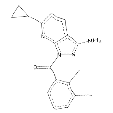 Cc1cccc(C(=O)n2nc(N)c3ccc(C4CC4)nc32)c1C